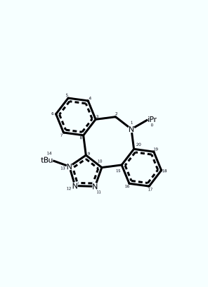 CC(C)N1Cc2ccccc2-c2c(nnn2C(C)(C)C)-c2ccccc21